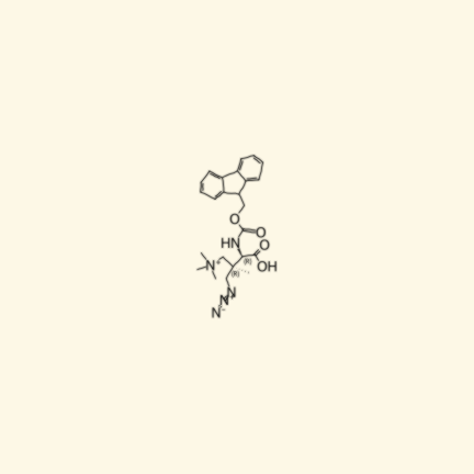 C[C@](CN=[N+]=[N-])(C[N+](C)(C)C)[C@@H](NC(=O)OCC1c2ccccc2-c2ccccc21)C(=O)O